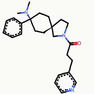 CN(C)[C@]1(c2ccccc2)CC[C@]2(CCN(C(=O)CCc3cccnc3)C2)CC1